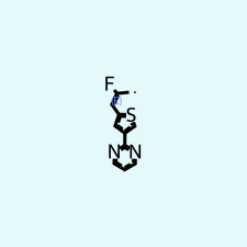 [CH2]/C(F)=C\c1cc(-c2ncccn2)cs1